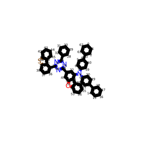 c1ccc(-c2ccc(N(c3ccc(-c4ccccc4)cc3)c3cc(-c4nc(-c5ccccc5)nc(-c5cccc6sc7ccccc7c56)n4)cc4oc5ccccc5c34)cc2)cc1